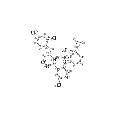 O=CN1C(c2cc(Cl)nnc2Oc2cccc(C3CC3)c2F)=NOCC1Cc1ccc(Cl)cc1Cl